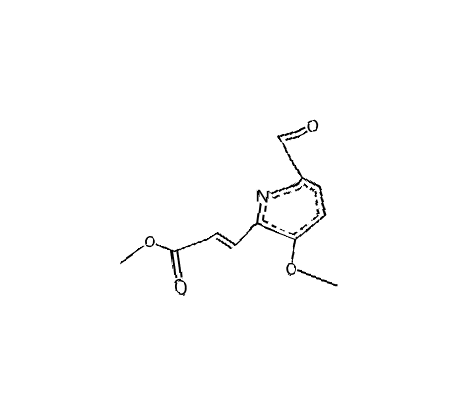 COC(=O)C=Cc1nc(C=O)ccc1OC